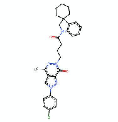 Cc1nn(CCCC(=O)NCC2(c3ccccc3)CCCCC2)c(=O)c2nn(-c3ccc(Cl)cc3)cc12